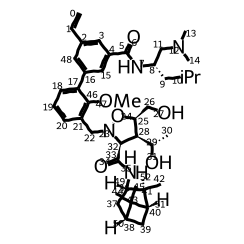 C=Cc1cc(C(=O)N[C@@H](CC(C)C)CN(C)C)cc(-c2cccc(CN3O[C@@H](CO)[C@@H]([C@H](C)O)[C@H]3C(=O)N[C@H]3C[C@H]4C[C@@H]([C@@H]3C)C4(C)C)c2OC)c1